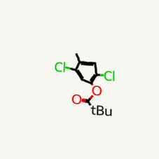 Cc1cc(Cl)c(OC(=O)C(C)(C)C)cc1Cl